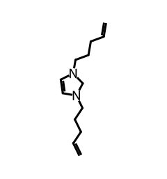 C=CCCCN1C=CN(CCCC=C)C1